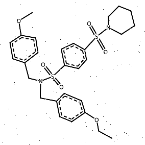 CCOc1ccc(CN(Cc2ccc(OC)cc2)S(=O)(=O)c2ccc(S(=O)(=O)N3CCCCC3)cc2)cc1